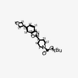 CC(C)(C)OC(=O)N1CCC(c2nc3ccc(C4COC4)cc3o2)CC1